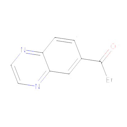 CCC(=O)c1ccc2nccnc2c1